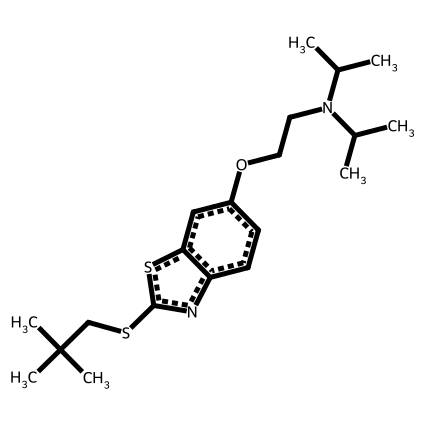 CC(C)N(CCOc1ccc2nc(SCC(C)(C)C)sc2c1)C(C)C